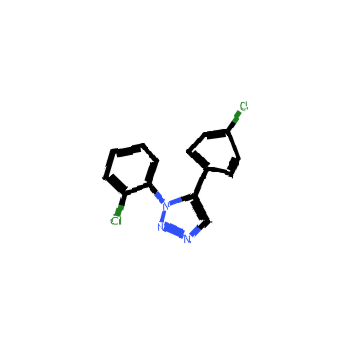 Clc1ccc(-c2[c]nnn2-c2ccccc2Cl)cc1